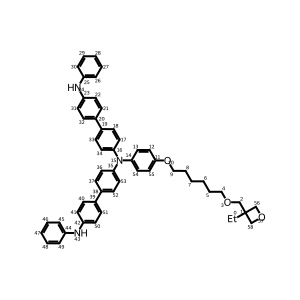 CCC1(COCCCCCCOc2ccc(N(c3ccc(-c4ccc(Nc5ccccc5)cc4)cc3)c3ccc(-c4ccc(Nc5ccccc5)cc4)cc3)cc2)COC1